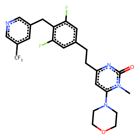 Cn1c(N2CCOCC2)cc(CCc2cc(F)c(Cc3cncc(C(F)(F)F)c3)c(F)c2)nc1=O